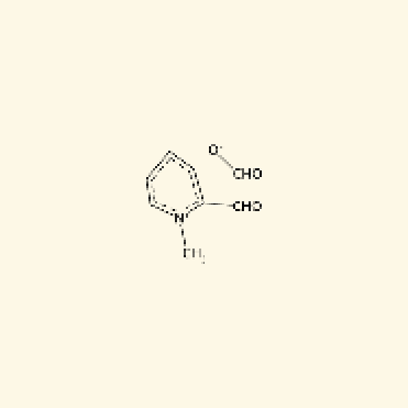 C[n+]1ccccc1C=O.O=C[O-]